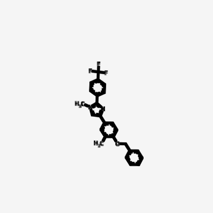 Cc1cc(-c2cn(C)c(-c3ccc(C(F)(F)F)cc3)n2)ccc1OCc1ccccc1